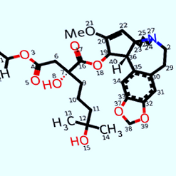 [2H]C([2H])OC(=O)C[C@](O)(CCCC(C)(C)O)C(=O)OC1C(OC)=CC23CCCN2CCc2cc4c(cc2[C@H]13)OCO4